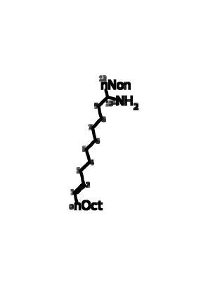 CCCCCCCCC=CCCCCCCCC(N)CCCCCCCCC